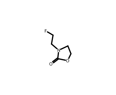 O=C1OCCN1CCF